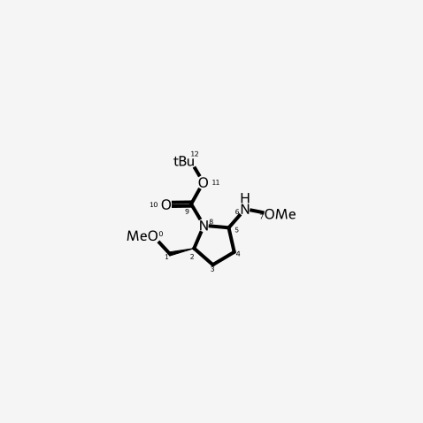 COC[C@@H]1CCC(NOC)N1C(=O)OC(C)(C)C